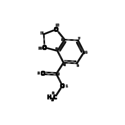 COC(=O)c1c[c]cc2c1OCO2